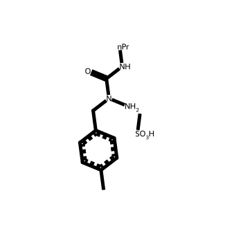 CCCNC(=O)N(N)Cc1ccc(C)cc1.CS(=O)(=O)O